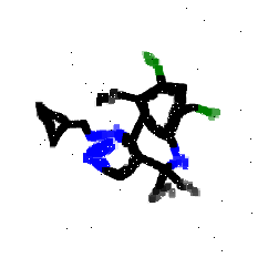 Cc1c(Br)cc(F)c2c1-c1c(cnn1CC1CC1)C(C)(C)N2